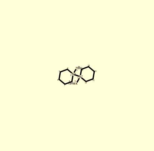 CCCCCC[N+]1([N+]2(CCCC)CCCCC2)CCCCC1